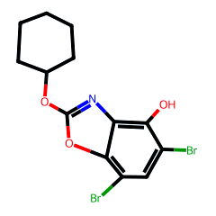 Oc1c(Br)cc(Br)c2oc(OC3CCCCC3)nc12